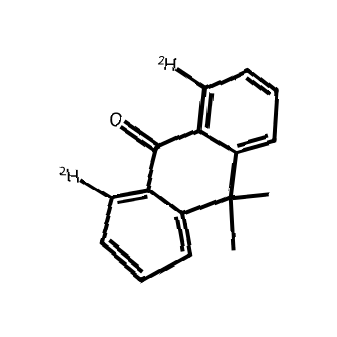 [2H]c1cccc2c1C(=O)c1c([2H])cccc1C2(C)C